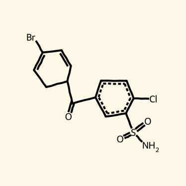 NS(=O)(=O)c1cc(C(=O)C2C=CC(Br)=CC2)ccc1Cl